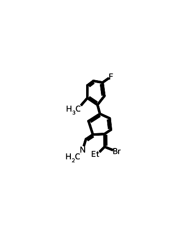 C=N/C=c1/cc(-c2cc(F)ccc2C)cc/c1=C(\Br)CC